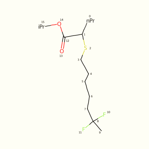 CCCC(SCCCCCC(C)(F)F)C(=O)OC(C)C